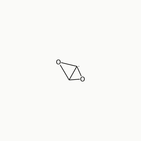 O1[C]2OC12